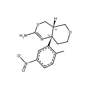 Cc1ccc([N+](=O)[O-])cc1[C@]12CCOC[C@H]1CSC(N)=N2